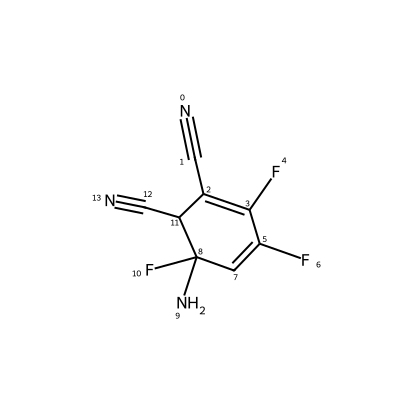 N#CC1=C(F)C(F)=CC(N)(F)C1C#N